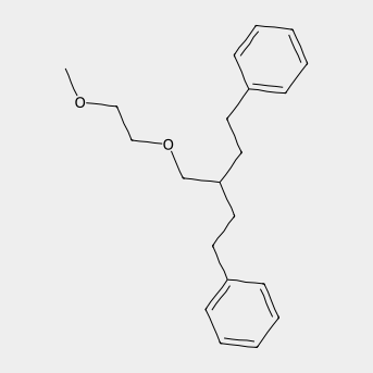 COCCOCC(CCc1ccccc1)CCc1ccccc1